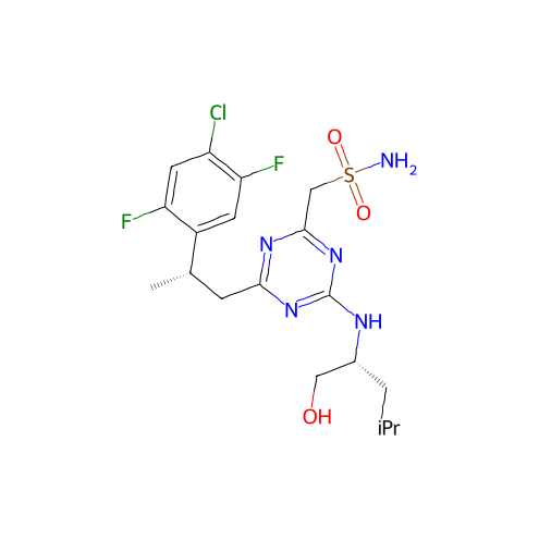 CC(C)C[C@H](CO)Nc1nc(C[C@H](C)c2cc(F)c(Cl)cc2F)nc(CS(N)(=O)=O)n1